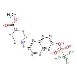 COC(=O)C1CCN(Cc2ccc3cc(OS(=O)(=O)C(F)(F)F)ccc3c2)CC1